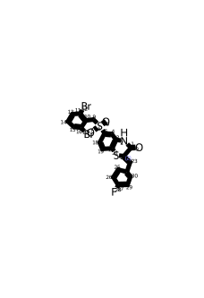 O=C1Nc2cc(S(=O)(=O)Cc3c(Br)cccc3Br)ccc2S/C1=C\c1ccc(F)cc1